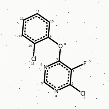 Fc1c(Cl)ncnc1Oc1ccccc1Cl